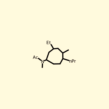 CCCC1CCC(N(C)C(C)=O)CC(CC)CC1C